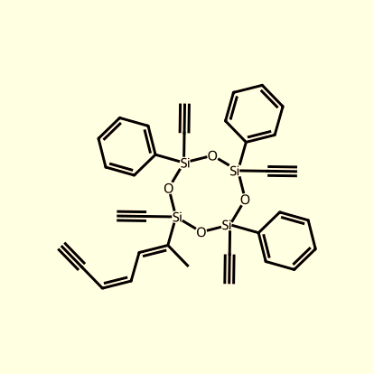 C#C/C=C\C=C(/C)[Si]1(C#C)O[Si](C#C)(c2ccccc2)O[Si](C#C)(c2ccccc2)O[Si](C#C)(c2ccccc2)O1